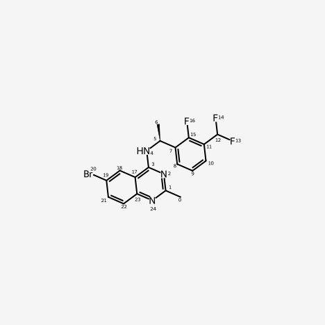 Cc1nc(N[C@@H](C)c2cccc(C(F)F)c2F)c2cc(Br)ccc2n1